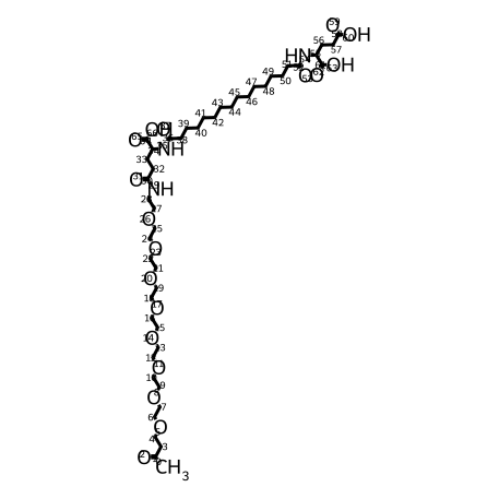 CC(=O)CCOCCOCCOCCOCCOCCOCCOCCOCCNC(=O)CCC(NC(=O)CCCCCCCCCCCCCCC(=O)NC(CCC(=O)O)C(=O)O)C(=O)O